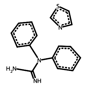 N=C(N)N(c1ccccc1)c1ccccc1.c1cscn1